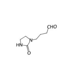 O=CCCCN1CCNC1=O